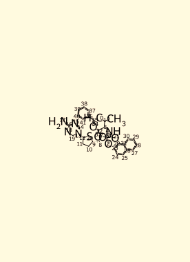 CC(C)[C@H](NP(=O)(OC[C@@H]1CC[C@H](N2C=NC(N)=NC2)S1)Oc1cccc2ccccc12)C(=O)OCc1ccccc1